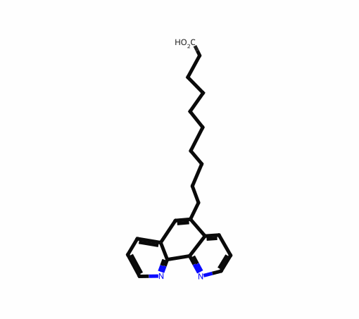 O=C(O)CCCCCCCCCc1cc2cccnc2c2ncccc12